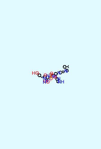 CC(C)c1ccccc1[C@H]1CCCN1C1CC2(CCN(c3ccc(C(=O)NS(=O)(=O)c4cc([N+](=O)[O-])c5c(n4)OC[C@H](Cc4ccc(O)cc4)N5)c(Oc4cnc5[nH]ccc5c4)c3)CC2)C1